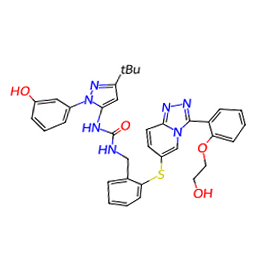 CC(C)(C)c1cc(NC(=O)NCc2ccccc2Sc2ccc3nnc(-c4ccccc4OCCO)n3c2)n(-c2cccc(O)c2)n1